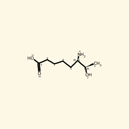 C[C@@H](O)[C@H](N)CCCCC(=O)O